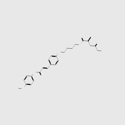 C=C(CC(=O)CO)C(=O)OCCCCOc1ccc(/C=C/C(=O)Oc2ccc(OC)cc2)cc1